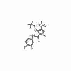 Cn1cc(S(C)(=O)=O)c(OCC(C)(C)C)c1C(=O)Nc1ccc(F)c(F)c1